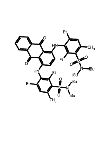 CCc1cc(C)c(S(=O)(=O)N(C(C)CC)C(C)CC)c(CC)c1Nc1ccc(Nc2c(CC)cc(C)c(S(=O)(=O)N(C(C)CC)C(C)CC)c2CC)c2c1C(=O)c1ccccc1C2=O